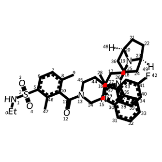 CCNS(=O)(=O)c1ccc(C)c(C(=O)N2CCC(CCN3[C@@H]4CC[C@H]3CC(n3c(C)nc5ccccc53)C4)(c3cccc(F)c3)CC2)c1C